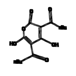 CCCCC(=O)c1c(O)oc(=O)c(C(=O)CCCC)c1O